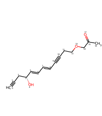 C#CC[C@@H](O)/C=C/C=C/C#CCCOCC(C)=O